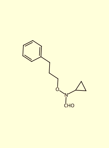 O=CN(OCCCc1ccccc1)C1CC1